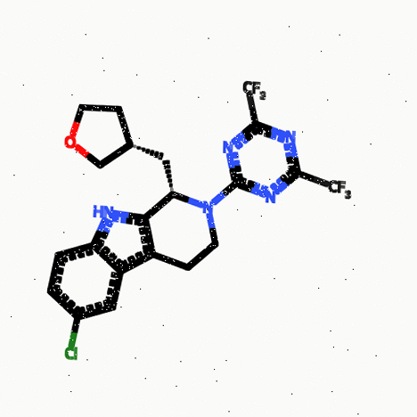 FC(F)(F)c1nc(N2CCc3c([nH]c4ccc(Cl)cc34)[C@@H]2C[C@H]2CCOC2)nc(C(F)(F)F)n1